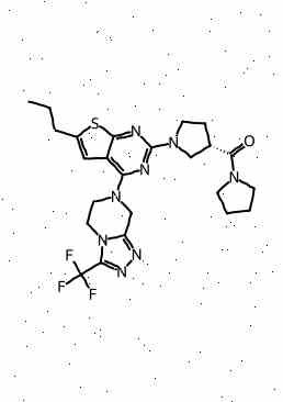 CCCc1cc2c(N3CCn4c(nnc4C(F)(F)F)C3)nc(N3CC[C@H](C(=O)N4CCCC4)C3)nc2s1